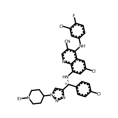 CCN1CCC(n2cc([C@H](Nc3cc(Cl)cc4c(Nc5ccc(F)c(Cl)c5)c(C#N)cnc34)c3ccc(Cl)cc3)nn2)CC1